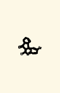 O=C1C2=C(C=CCC2)c2c1c(Cl)nc1ccc(Br)cc21